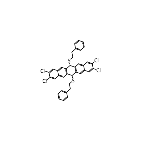 Clc1cc2cc3c(cc2cc1Cl)[C@H](SCCc1ccccc1)c1cc2cc(Cl)c(Cl)cc2cc1[C@H]3SCCc1ccccc1